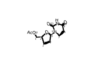 CC(=O)OC[C@@H]1C=C[C@H](n2ccc(=O)[nH]c2=O)O1